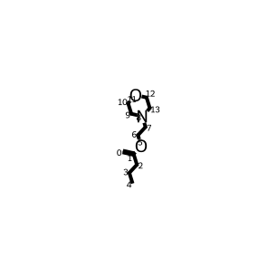 C=C(CCC)OCCN1CCOCC1